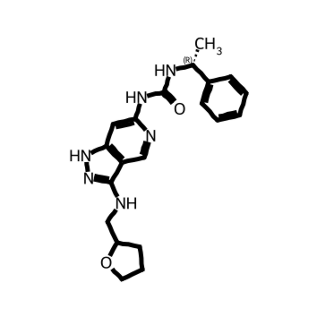 C[C@@H](NC(=O)Nc1cc2[nH]nc(NCC3CCCO3)c2cn1)c1ccccc1